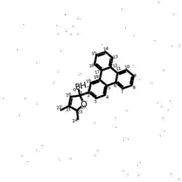 BC1(c2ccc3c4ccccc4c4ccccc4c3c2)C=C(C)C(C)O1